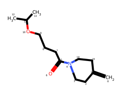 C=C1CCN(C(=O)CCCOC(C)C)CC1